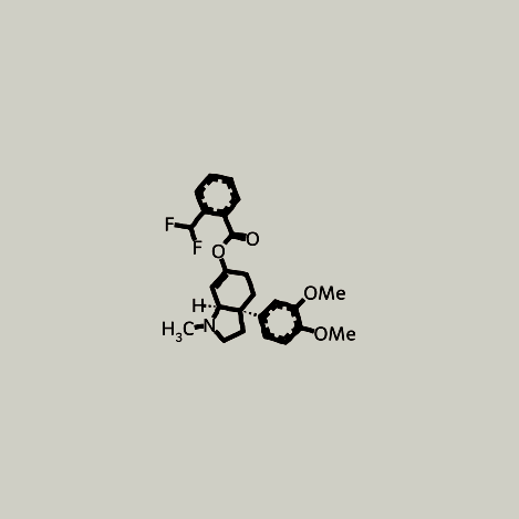 COc1ccc([C@@]23CCC(OC(=O)c4ccccc4C(F)F)=C[C@@H]2N(C)CC3)cc1OC